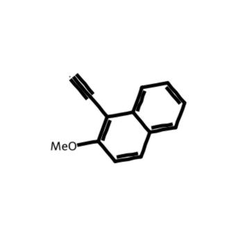 [C]#Cc1c(OC)ccc2ccccc12